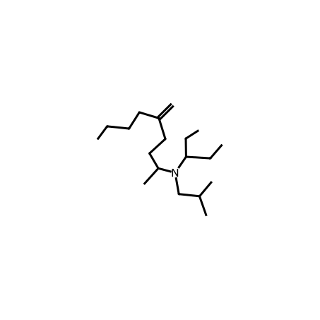 C=C(CCCC)CCC(C)N(CC(C)C)C(CC)CC